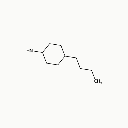 CCCCC1CCC([NH])CC1